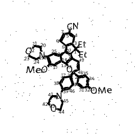 CCC1(CC)c2cc(C#N)ccc2-c2c1c1c(c3cc(OC)c(N4CCOCC4)cc23)OC(c2ccc(OC)cc2)(c2ccc(N3CCOCC3)cc2)C=C1